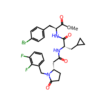 COC(=O)[C@H](Cc1ccc(Br)cc1)NC(=O)[C@H](CC1CC1)NC(=O)C[C@@H]1CCC(=O)N1Cc1cccc(F)c1F